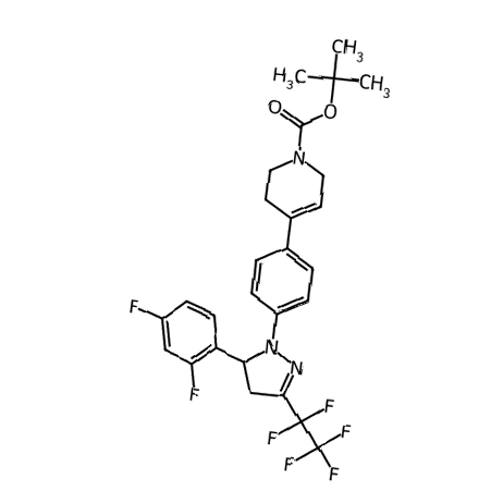 CC(C)(C)OC(=O)N1CC=C(c2ccc(N3N=C(C(F)(F)C(F)(F)F)CC3c3ccc(F)cc3F)cc2)CC1